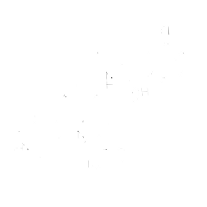 CC(Cc1ccc2c(c1)cc(C(=O)O)n2Cc1cccnc1)NCC(O)c1cccc(Cl)c1